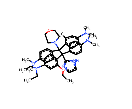 CCOc1cc(N(CC)CC)ccc1C(c1ccc(N(C)C)cc1)(c1ncc[nH]1)C(c1ccc(N(C)C)cc1)(c1ccc(N(C)C)cc1C)N1CCOCC1